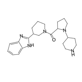 O=C(C1CCCN1C1CCNCC1)N1CCCC(c2nc3ccccc3[nH]2)C1